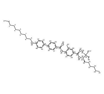 CCCCCCCCCCOc1ccc(-c2ccc(C(=O)Oc3ccc(C(=O)O[C@H](CCCCCC)C(F)(F)F)cc3C)cc2)cc1